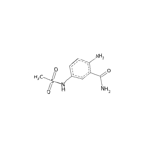 CS(=O)(=O)Nc1ccc(N)c(C(N)=O)c1